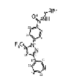 CC(C)CNC(=O)c1ccc(-n2nc(-c3cccnc3)cc2C(F)(F)F)cc1